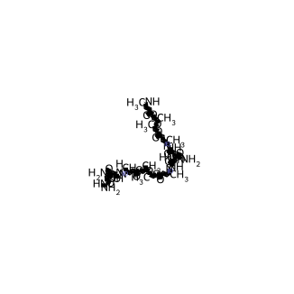 CC(=N)CCC(=O)OCC(C)OC(C)COC(=O)CC/C(C)=N/NC(=O)CC(O)(CC(=O)N/N=C(\C)CCC(=O)OCC(C)OC(C)COC(=O)CC/C(C)=N/NC(=O)CC(O)(CC(=O)NN)C(N)=O)C(=O)NN